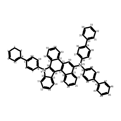 C1=CCCC(c2ccc(-n3c4ccccc4c4c5c6ccccc6c(N(c6ccc(-c7ccccc7)cc6)c6ccc(-c7ccccc7)cc6)cc5c5ccccc5c43)cc2)=C1